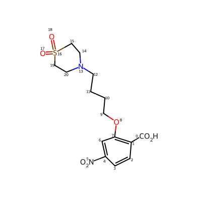 O=C(O)c1ccc([N+](=O)[O-])cc1OCCCCN1CCS(=O)(=O)CC1